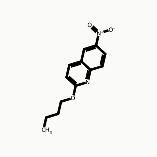 CCCCOc1ccc2cc([N+](=O)[O-])ccc2n1